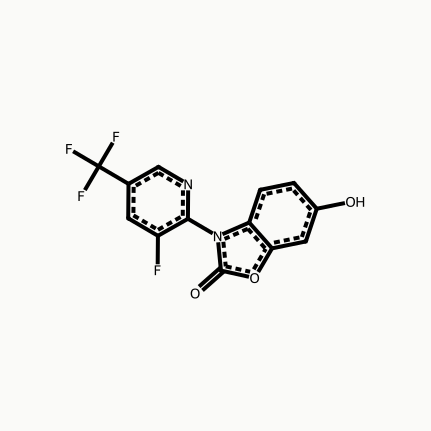 O=c1oc2cc(O)ccc2n1-c1ncc(C(F)(F)F)cc1F